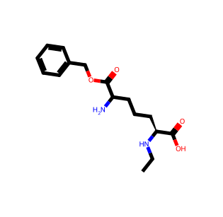 CCN[C@@H](CCCC(N)C(=O)OCc1ccccc1)C(=O)O